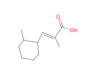 C/C(=C\C1CCCCC1C)C(=O)O